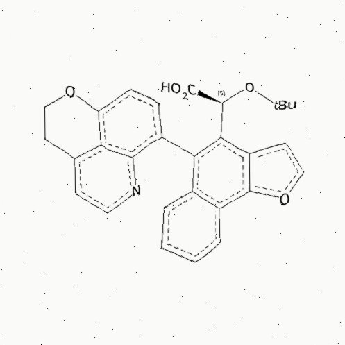 CC(C)(C)O[C@H](C(=O)O)c1c(-c2ccc3c4c(ccnc24)CCO3)c2ccccc2c2occc12